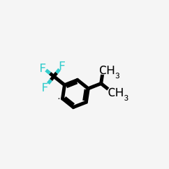 CC(C)c1cc[c]c(C(F)(F)F)c1